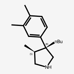 CCCC[C@@]1(c2ccc(C)c(C)c2)CNC[C@H]1C